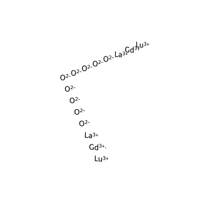 [Gd+3].[Gd+3].[La+3].[La+3].[Lu+3].[Lu+3].[O-2].[O-2].[O-2].[O-2].[O-2].[O-2].[O-2].[O-2].[O-2]